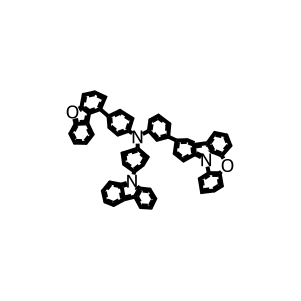 c1cc(-c2ccc3c(c2)c2cccc4c2n3-c2ccccc2O4)cc(N(c2ccc(-c3cccc4oc5ccccc5c34)cc2)c2ccc(-n3c4ccccc4c4ccccc43)cc2)c1